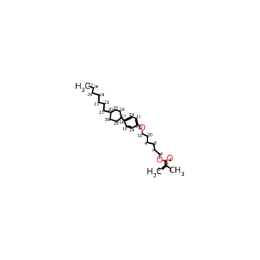 C=C(C)C(=O)OCCCCCCOc1ccc(C2CCC(CCCCCCC)CC2)cc1